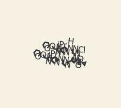 CC(C)n1c(COC2CCCCO2)nc2cnc(Nc3ccnc(-c4cnn(S(=O)(=O)C5CC5)c4)n3)cc21.CC(C)n1c(COC2CCCCO2)nc2cnc(Nc3ccnc(Cl)n3)cc21